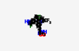 O=c1[nH]c(/C=C/c2ccc(/C(=C(\c3ncc(C(F)(F)F)cc3Cl)C3CCC3)c3ccc4[nH]nc(F)c4c3)cc2)no1